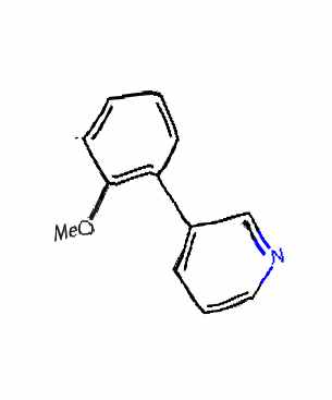 COc1[c]cccc1-c1cccnc1